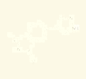 C[C@H]1NC(=O)c2cc(-c3cn[nH]c3)ccc21